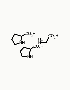 NCC(=O)O.O=C(O)C1CCCN1.O=C(O)C1CCCN1